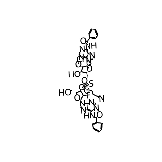 COC1C(O)[C@@H](COP(=S)(OCCC#N)OC2C(F)[C@H](n3cnc4c(NC(=O)c5ccccc5)ncnc43)O[C@@H]2CO)O[C@H]1n1cnc2c(NC(=O)c3ccccc3)ncnc21